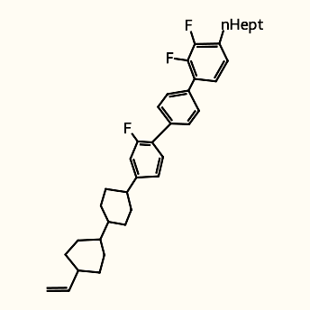 C=CC1CCC(C2CCC(c3ccc(-c4ccc(-c5ccc(CCCCCCC)c(F)c5F)cc4)c(F)c3)CC2)CC1